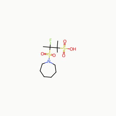 CC(C)(C(C)(F)S(=O)(=O)N1CCCCCC1)S(=O)(=O)O